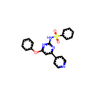 O=S(=O)(Nc1nc(Oc2ccccc2)cc(-c2ccncc2)n1)c1ccccc1